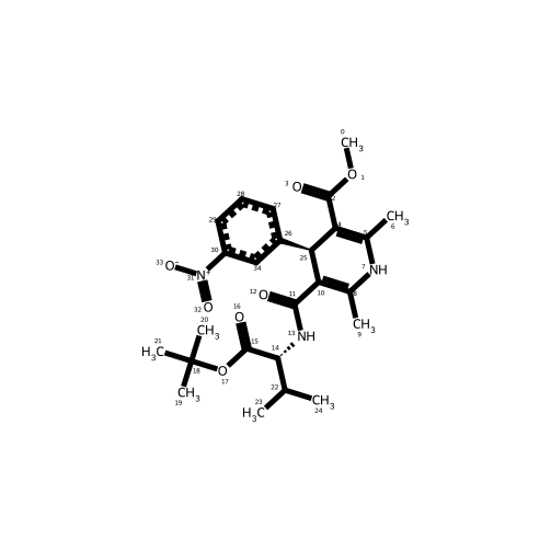 COC(=O)C1=C(C)NC(C)=C(C(=O)N[C@@H](C(=O)OC(C)(C)C)C(C)C)[C@H]1c1cccc([N+](=O)[O-])c1